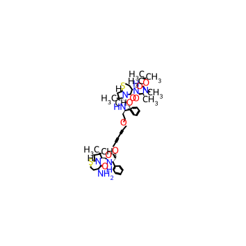 C[C@@H](C(=O)N[C@H]1CCS[C@H]2CC(C)(C)[C@@H](C(=O)N[C@H](CCOCC#CC#CCOCC[C@@H](NC(=O)[C@H]3N4C(=O)[C@@H](N)CCS[C@H]4CC3(C)C)c3ccccc3)c3ccccc3)N2C1=O)N(C)C(=O)OC(C)(C)C